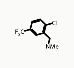 CNCc1cc(C(F)(F)F)ccc1Cl